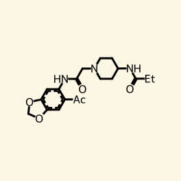 CCC(=O)NC1CCN(CC(=O)Nc2cc3c(cc2C(C)=O)OCO3)CC1